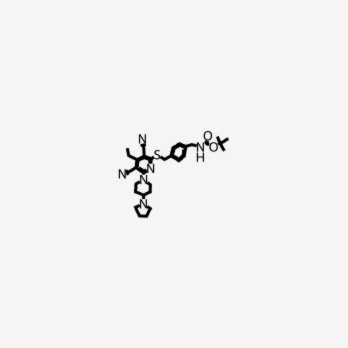 CCc1c(C#N)c(SCc2ccc(CNC(=O)OC(C)(C)C)cc2)nc(N2CCC(N3CCCC3)CC2)c1C#N